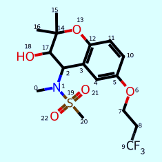 CN(C1c2cc(OCCC(F)(F)F)ccc2OC(C)(C)C1O)S(C)(=O)=O